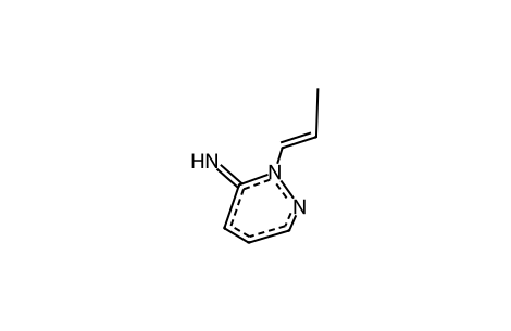 CC=Cn1ncccc1=N